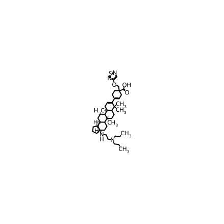 CCCN(CCC)CCN[C@]12CCC[C@@H]1[C@H]1CCC3[C@@](C)(CCC4C(C)(C)C(C5=CCC(COc6cnsn6)(C(=O)O)CC5)=CC[C@@]43C)C1CC2